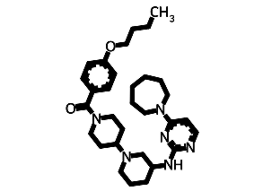 CCCCOc1ccc(C(=O)N2CCC(N3CCCC(Nc4nccc(N5CCCCCC5)n4)C3)CC2)cc1